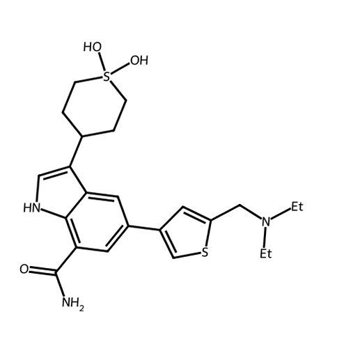 CCN(CC)Cc1cc(-c2cc(C(N)=O)c3[nH]cc(C4CCS(O)(O)CC4)c3c2)cs1